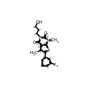 Cc1c(-c2cccc(F)c2)sc2c1c(=O)n(CCCO)c(=O)n2C